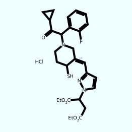 CCOC(=O)CC(C(=O)OCC)n1ccc(/C=C2/CN(C(C(=O)C3CC3)c3ccccc3F)CCC2S)n1.Cl